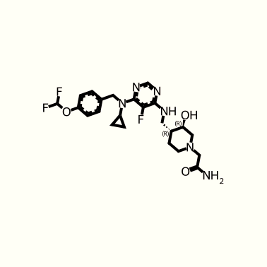 NC(=O)CN1CC[C@H](CNc2ncnc(N(Cc3ccc(OC(F)F)cc3)C3CC3)c2F)[C@@H](O)C1